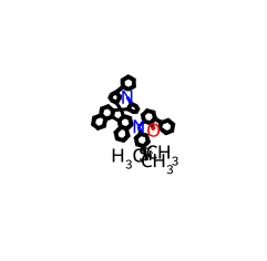 C[Si](C)(C)c1ccc(N(c2cc3c(c4ccccc24)-c2c(ccc4ccccc24)C32c3ccccc3-n3c4ccccc4c4cccc2c43)c2cccc3c2oc2ccccc23)cc1